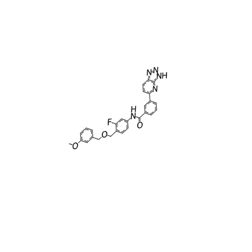 COc1cccc(COCc2ccc(NC(=O)c3cccc(-c4ccc5nn[nH]c5n4)c3)cc2F)c1